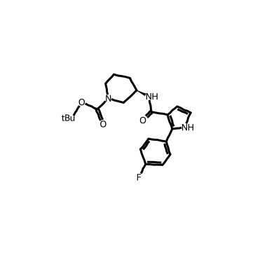 CC(C)(C)OC(=O)N1CCC[C@@H](NC(=O)c2cc[nH]c2-c2ccc(F)cc2)C1